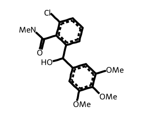 CNC(=O)c1c(Cl)cccc1C(O)c1cc(OC)c(OC)c(OC)c1